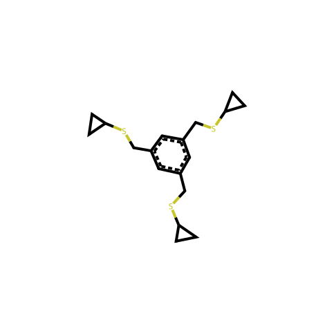 c1c(CSC2CC2)cc(CSC2CC2)cc1CSC1CC1